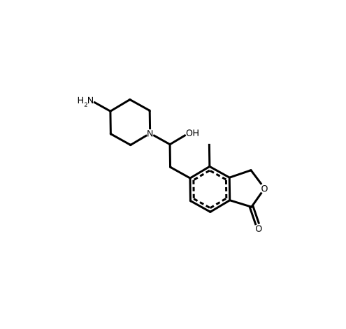 Cc1c(CC(O)N2CCC(N)CC2)ccc2c1COC2=O